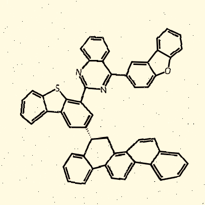 c1ccc2c(c1)-c1ccc3c(ccc4ccccc43)c1C[C@H]2c1cc(-c2nc(-c3ccc4oc5ccccc5c4c3)c3ccccc3n2)c2sc3ccccc3c2c1